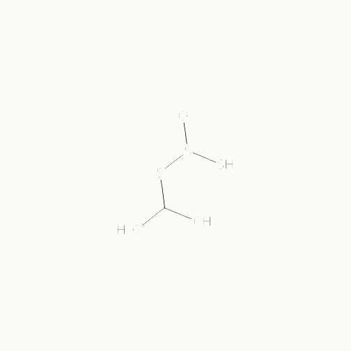 CC(C)S[S+]([O-])S